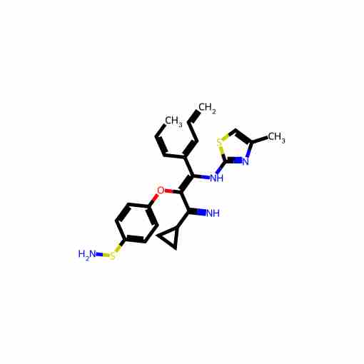 C=C/C=C(\C=C/C)C(/Nc1nc(C)cs1)=C(\Oc1ccc(SN)cc1)C(=N)C1CC1